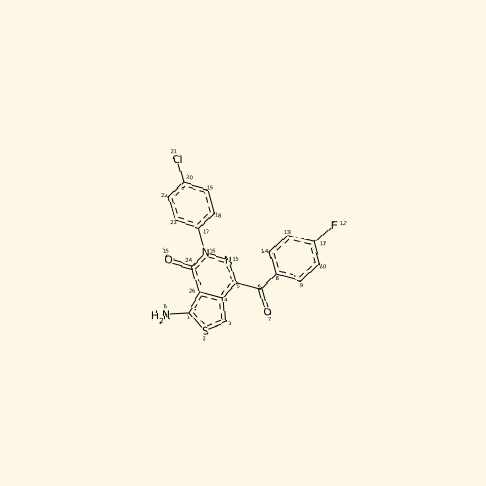 Nc1scc2c(C(=O)c3ccc(F)cc3)nn(-c3ccc(Cl)cc3)c(=O)c12